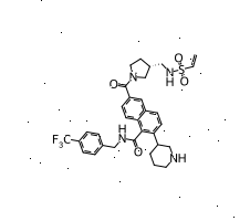 C=CS(=O)(=O)NC[C@H]1CCN(C(=O)c2ccc3c(C(=O)NCc4ccc(C(F)(F)F)cc4)c(C4CCCNC4)ccc3c2)C1